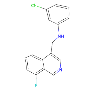 Fc1cccc2c(CNc3cccc(Cl)c3)cncc12